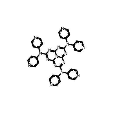 c1cc(N(C2=NC3=NC(N(c4ccncc4)c4ccncc4)=NC4=NC(N(c5ccncc5)c5ccncc5)=NC(=N2)N34)c2ccncc2)ccn1